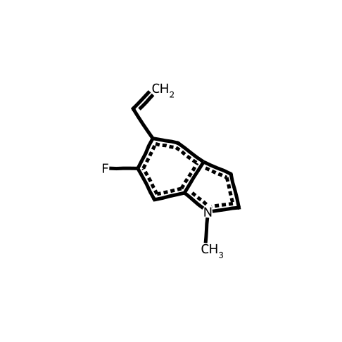 C=Cc1cc2ccn(C)c2cc1F